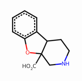 O=C(O)C12CNCCC1c1ccccc1O2